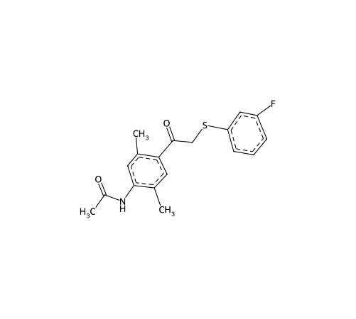 CC(=O)Nc1cc(C)c(C(=O)CSc2cccc(F)c2)cc1C